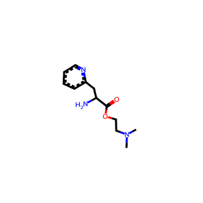 CN(C)CCOC(=O)C(N)Cc1ccccn1